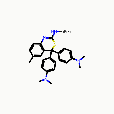 CCCCCNC1=Nc2ccc(C)cc2C(c2ccc(N(C)C)cc2)(c2ccc(N(C)C)cc2)S1